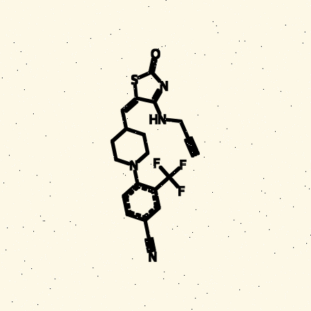 C#CCNC1=NC(=O)SC1=CC1CCN(c2ccc(C#N)cc2C(F)(F)F)CC1